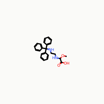 COC(NCCNC(c1ccccc1)(c1ccccc1)c1ccccc1)C(=O)O